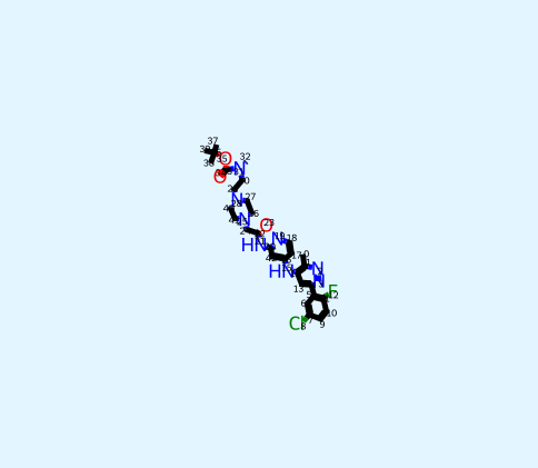 Cc1nnc(-c2cc(Cl)ccc2F)cc1Nc1ccnc(NC(=O)CN2CCN(CCN(C)C(=O)OC(C)(C)C)CC2)c1